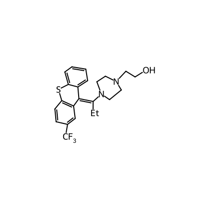 CC/C(=C1/c2ccccc2Sc2ccc(C(F)(F)F)cc21)N1CCN(CCO)CC1